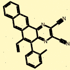 C=Cc1c(-c2ccccc2C)c2nc(C#N)c(C#N)nc2c2cc3ccccc3cc12